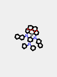 c1ccc(-c2cccc3c2B2c4c(-c5ccccc5)cccc4N(c4ccc5ccccc5c4)c4cc(N(c5ccccc5)c5ccccc5)cc(c42)N3c2ccc3ccccc3c2)cc1